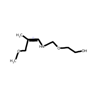 COC/C(C)=C\NCOCCO